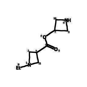 CCN1CC(C(=O)OC2CNC2)C1